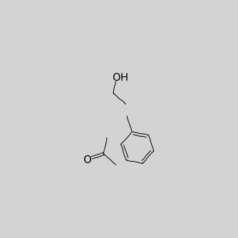 CC(C)=O.CCO.Cc1ccccc1